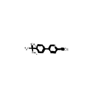 C#Cc1ccc(-c2ccc(C(C)(C)C)cc2)cn1